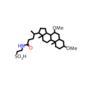 COC1CCC2(C)C(C1)CC(OC)C1C2CCC2(C)C(C(C)CCC(=O)NCCS(=O)(=O)O)CCC12